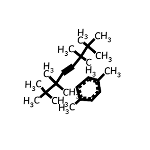 CC(C)(C)C(C)(C)C#CC(C)(C)C(C)(C)C.Cc1ccc(C)cc1